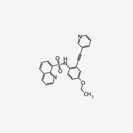 CCOc1ccc(NS(=O)(=O)c2cccc3cccnc23)c(C#Cc2cccnc2)c1